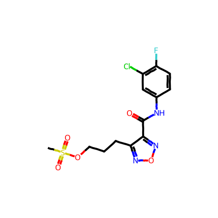 CS(=O)(=O)OCCCc1nonc1C(=O)Nc1ccc(F)c(Cl)c1